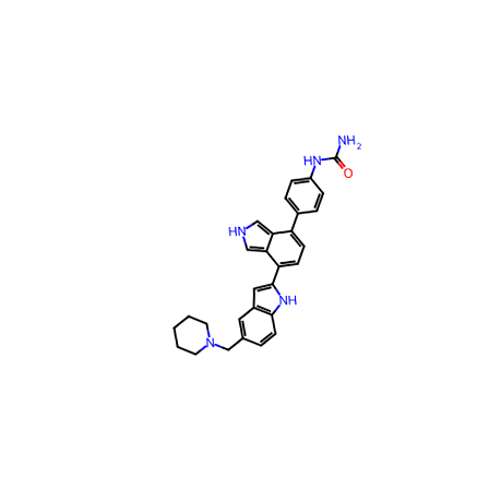 NC(=O)Nc1ccc(-c2ccc(-c3cc4cc(CN5CCCCC5)ccc4[nH]3)c3c[nH]cc23)cc1